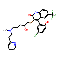 CN(CCCC(O)CSc1c(-c2cc(Cl)ccc2O)c2cc(C(F)(F)F)ccc2[nH]c1=O)CCc1ccccn1